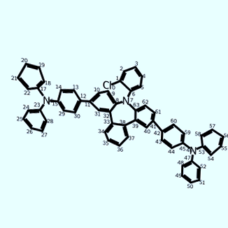 Clc1ccccc1N1c2ccc(-c3ccc(N(c4ccccc4)c4ccccc4)cc3)cc2-c2ccccc2-c2cc(-c3ccc(N(c4ccccc4)c4ccccc4)cc3)ccc21